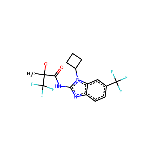 CC(O)(C(=O)Nc1nc2ccc(C(F)(F)F)cc2n1C1CCC1)C(F)(F)F